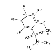 CN(C)S(=O)(=O)c1c(F)c(F)c(F)c(F)c1OC(F)(F)F